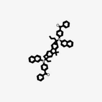 CCCC1(N(c2ccc(C(=O)c3ccccc3)cc2)c2ccc3ccccc3c2)c2cc3c(cc21)C(C)(C)c1cc2c(cc1-3)CC2(CC)N(c1ccc(C(=O)c2ccccc2)cc1)c1ccc2ccccc2c1